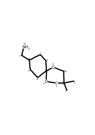 CC1(C)COC2(CCC(CN)CC2)OC1